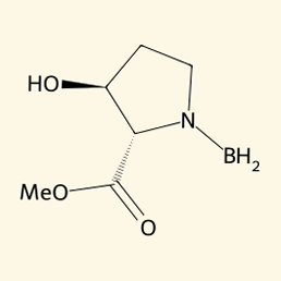 BN1CC[C@H](O)[C@H]1C(=O)OC